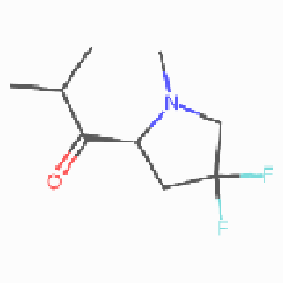 CC(C)C(=O)[C@@H]1CC(F)(F)CN1C